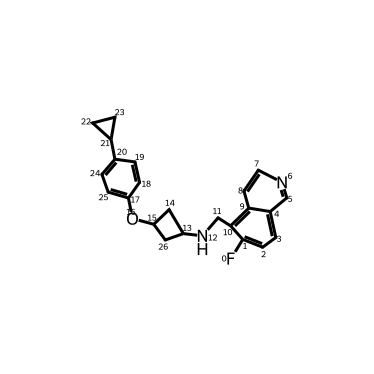 Fc1ccc2cnccc2c1CNC1CC(Oc2ccc(C3CC3)cc2)C1